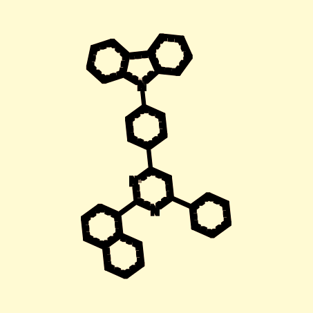 c1ccc(-c2cc(-c3ccc(-n4c5ccccc5c5ccccc54)cc3)nc(-c3cccc4ccccc34)n2)cc1